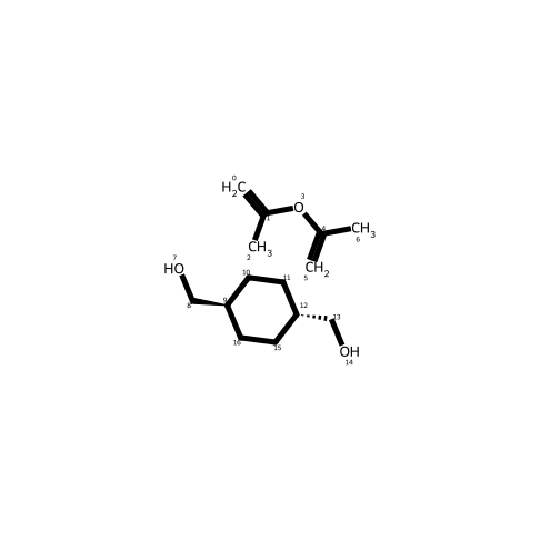 C=C(C)OC(=C)C.OC[C@H]1CC[C@H](CO)CC1